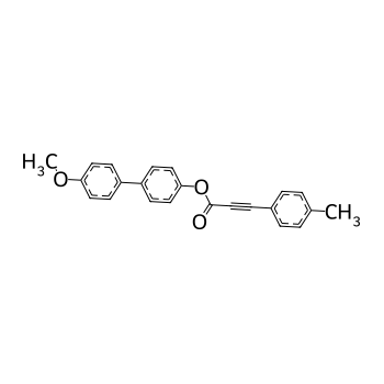 COc1ccc(-c2ccc(OC(=O)C#Cc3ccc(C)cc3)cc2)cc1